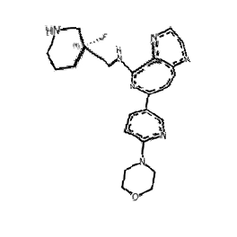 F[C@]1(CNc2nc(-c3ccc(N4CCOCC4)nc3)cc3nccnc23)CCCNC1